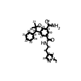 Cn1cc(CCNC(=O)c2cc(C(N)=O)c3c(c2)C(c2ccccc2)C(C)(C)O3)cn1